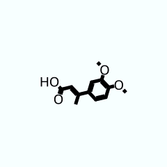 COc1ccc(/C(C)=C/C(=O)O)cc1OC